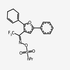 CCCS(=O)(=O)O/N=C(\c1cc(-c2ccccc2)oc1C1=CCCC=C1)C(F)(F)F